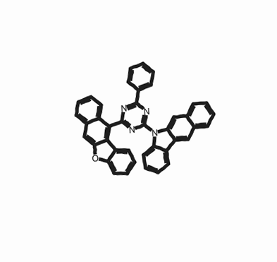 c1ccc(-c2nc(-c3c4ccccc4cc4oc5ccccc5c34)nc(-n3c4ccccc4c4cc5ccccc5cc43)n2)cc1